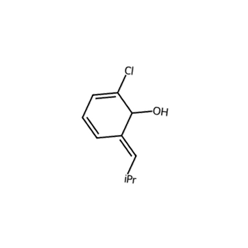 CC(C)C=C1C=CC=C(Cl)C1O